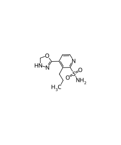 CCCc1c(C2=NNCO2)ccnc1S(N)(=O)=O